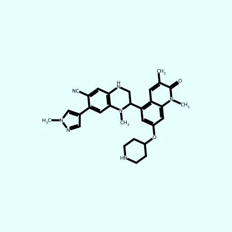 Cc1cc2c(C3CNc4cc(C#N)c(-c5cnn(C)c5)cc4N3C)cc(OC3CCNCC3)cc2n(C)c1=O